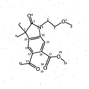 COCCN1C(=O)C(C)(C)c2cc(C(C)=O)c(C(=O)OC)cc21